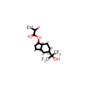 CCC(I)C(=O)OC1CCC2CC(C(O)(C(F)(F)F)C(F)(F)F)CCC21